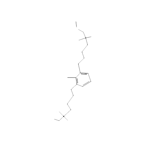 Cc1c(CCCCC(C)(C)COC=O)cccc1CCCCC(C)(C)CC(=O)O